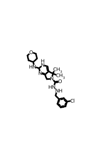 CC1(C)C2=CNC(NC3CCOCC3)N=C2CN1C(=O)NNCc1cccc(Cl)c1